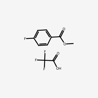 COC(=O)c1ccc(F)cc1.O=C(O)C(F)(F)F